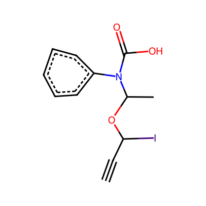 C#CC(I)OC(C)N(C(=O)O)c1ccccc1